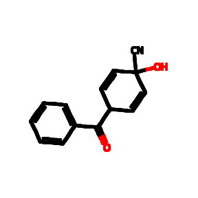 N#CC1(O)C=CC(C(=O)c2ccccc2)C=C1